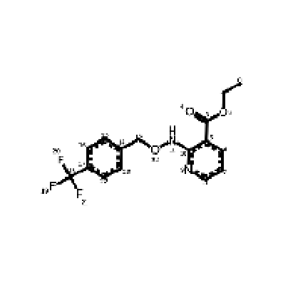 CCOC(=O)c1cccnc1NOCc1ccc(C(F)(F)F)cc1